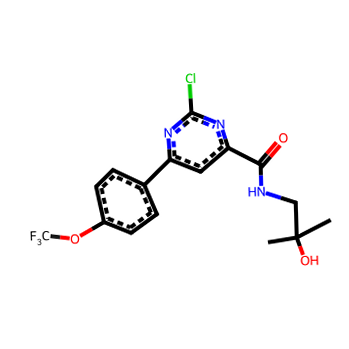 CC(C)(O)CNC(=O)c1cc(-c2ccc(OC(F)(F)F)cc2)nc(Cl)n1